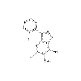 COc1c(Cl)cc2c(-c3ccccc3F)noc2c1Cl